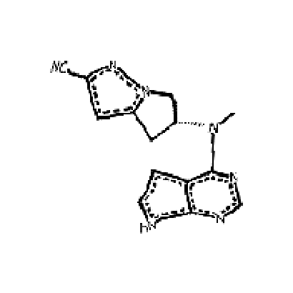 CN(c1ncnc2[nH]ccc12)[C@@H]1Cc2cc(C#N)nn2C1